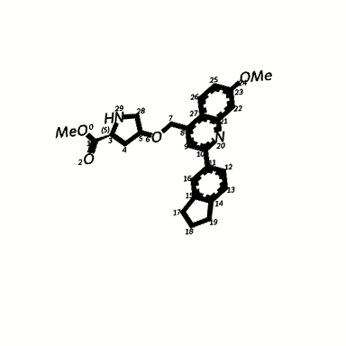 COC(=O)[C@@H]1CC(OCc2cc(-c3ccc4c(c3)CCC4)nc3cc(OC)ccc23)CN1